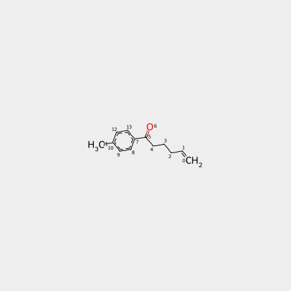 C=CCCCC(=O)c1ccc(C)cc1